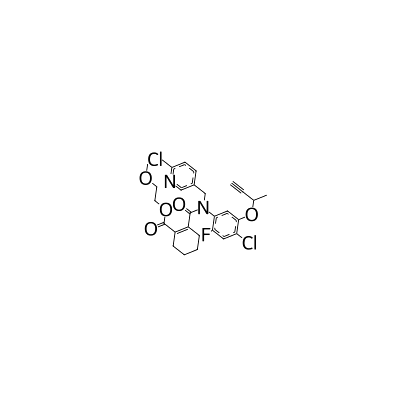 C#CC(C)Oc1cc(N(Cc2ccc(Cl)nc2)C(=O)C2=C(C(=O)OCCOC)CCCC2)c(F)cc1Cl